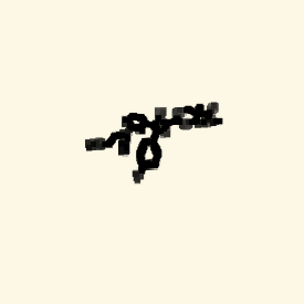 CNC(=O)C1(C)COC(c2nc(-c3ccc(F)cc3)c(-c3ccnc(NCCO)n3)[nH]2)OC1